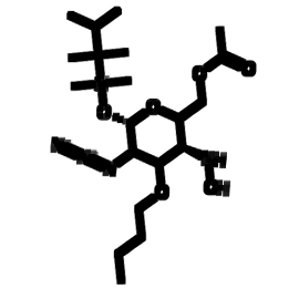 CCCCOC1C(N=[N+]=[N-])[C@H](O[Si](C)(C)C(C)(C)C(C)C)OC(COC(C)=O)[C@H]1NO